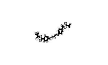 C=C(C)C(=O)OC(=O)c1ccc(OCCCOc2ccc(C(=O)OC(=O)C(=C)C)cc2)cc1